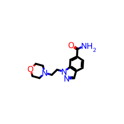 NC(=O)c1ccc2cnn(CCN3CCOCC3)c2c1